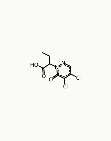 CCC(C(=O)O)n1ncc(Cl)c(Cl)c1=O